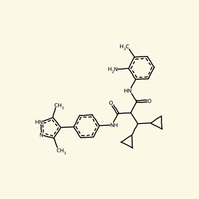 Cc1cccc(NC(=O)C(C(=O)Nc2ccc(-c3c(C)n[nH]c3C)cc2)C(C2CC2)C2CC2)c1N